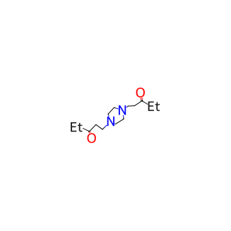 CCC(=O)CCN1CCN(CCC(=O)CC)CC1